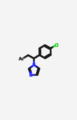 CC(=O)CC(c1ccc(Cl)cc1)n1ccnc1